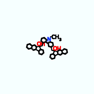 CCn1c2ccc(CC3(O)c4ccccc4-c4cc5ccccc5cc43)cc2c2c(CC3(O)c4ccccc4-c4cc5ccccc5cc43)cccc21